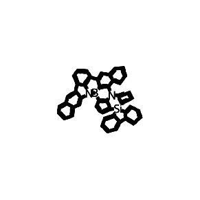 c1ccc2c(c1)-c1ccccc1[Si]21c2ccccc2N2c3c(cccc31)B1c3c(cc4ccccc4c32)-c2cccc3c4cc5ccccc5cc4n1c23